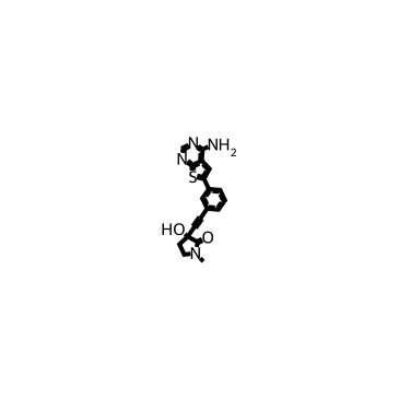 CN1CCC(O)(C#Cc2cccc(-c3cc4c(N)ncnc4s3)c2)C1=O